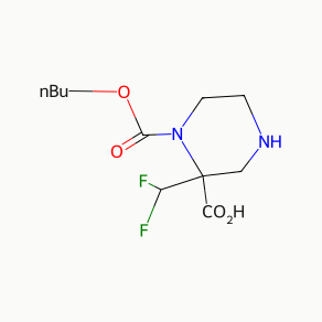 CCCCOC(=O)N1CCNCC1(C(=O)O)C(F)F